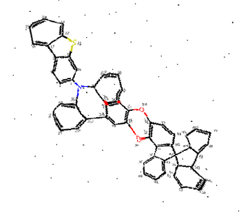 C1=CCC(N(c2ccc3c(c2)sc2ccccc23)c2ccccc2-c2ccc3c(c2)Oc2c(ccc4c2-c2ccccc2C42C4CC=CC=C4C4C=CC=CC42)O3)C=C1